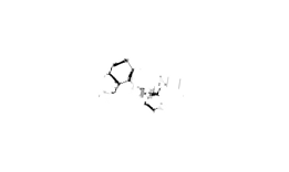 Nc1nccs1.O=Cc1ccccc1O